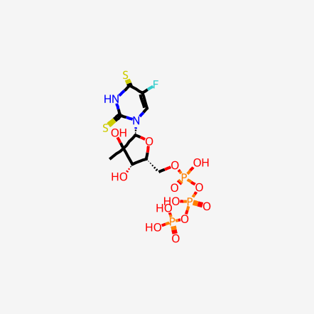 CC1(O)[C@@H](O)[C@@H](COP(=O)(O)OP(=O)(O)OP(=O)(O)O)O[C@H]1n1cc(F)c(=S)[nH]c1=S